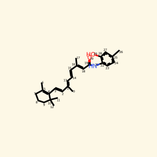 CC(C=CC1=C(C)CCCC1(C)C)=CC=CC(C)=CC(=O)Nc1ccc(C)cc1O